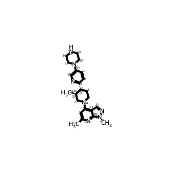 Cc1cc(N2CC[C@@H](c3ccc(N4CCNCC4)cn3)[C@H](C)C2)c2cnn(C)c2n1